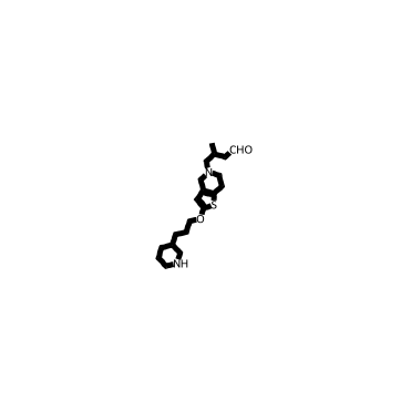 CC(CC=O)CN1CCc2sc(OCCCC3CCCNC3)cc2C1